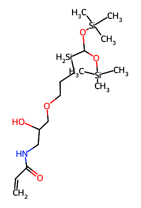 C=CC(=O)NCC(O)COCCC[SiH2]C(O[Si](C)(C)C)O[Si](C)(C)C